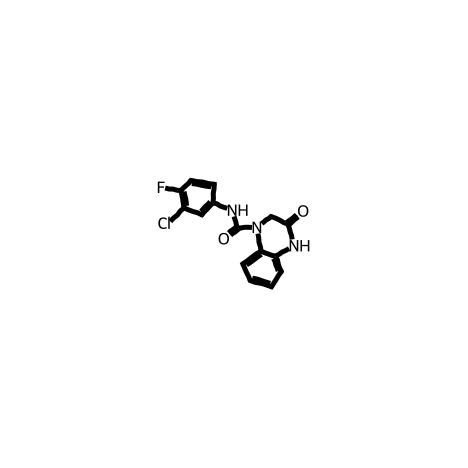 O=C1CN(C(=O)Nc2ccc(F)c(Cl)c2)c2ccccc2N1